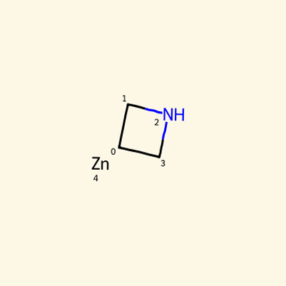 C1CNC1.[Zn]